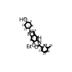 CCOc1cc2nn([C@H]3CC[C@H](O)CC3)cc2cc1NC(=O)c1cccc(C)n1